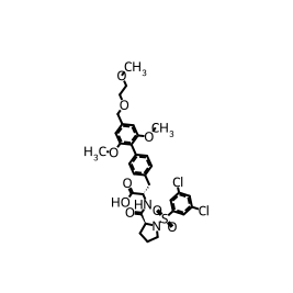 COCCOCc1cc(OC)c(-c2ccc(C[C@H](NC(=O)[C@@H]3CCCN3S(=O)(=O)c3cc(Cl)cc(Cl)c3)C(=O)O)cc2)c(OC)c1